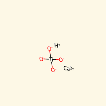 [Ca+2].[H+].[O-][Ti]([O-])([O-])[O-]